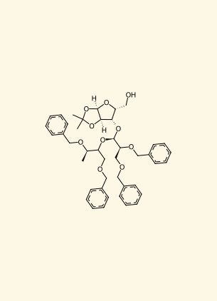 C[C@@H](OCc1ccccc1)C(COCc1ccccc1)O[C@@H](O[C@@H]1[C@H]2OC(C)(C)O[C@H]2O[C@@H]1CO)[C@H](COCc1ccccc1)OCc1ccccc1